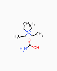 CC[N+](CC)(CC)CC.NC(=O)O